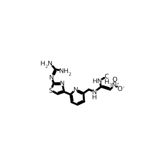 CN/C(=C\[N+](=O)[O-])NCc1cccc(-c2csc(N=C(N)N)n2)n1